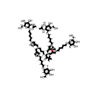 CC(=O)N[C@H]1[C@H](OCCCCCn2cc(CN(CCCC[C@@H](C(=O)C(C)(C)C)N(Cc3cn(CCCCCO[C@@H]4O[C@H](CO)[C@H](O)[C@H](O)[C@H]4C)nn3)Cc3cn(CCCCCO[C@@H]4O[C@H](CO)[C@H](O)[C@H](O)[C@H]4NC(C)=O)nn3)Cc3cn(CCCCCO[C@@H]4C[C@H](CO)[C@H](O)[C@H](O)[C@H]4C)nn3)nn2)O[C@H](CO)[C@H](O)[C@@H]1O